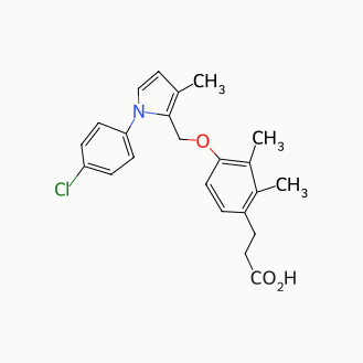 Cc1ccn(-c2ccc(Cl)cc2)c1COc1ccc(CCC(=O)O)c(C)c1C